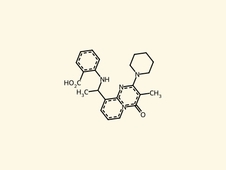 Cc1c(N2CCCCC2)nc2c(C(C)Nc3ccccc3C(=O)O)cccn2c1=O